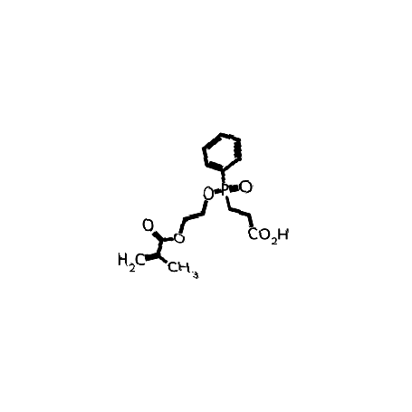 C=C(C)C(=O)OCCOP(=O)(CCC(=O)O)c1ccccc1